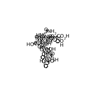 CC[C@H](C)[C@H](NC(=O)[C@H](CO)NC(=O)[C@H](Cc1ccc(O)cc1)NC(=O)[C@@H](NC(=O)[C@H](CS)NC(=O)[C@@H](N)Cc1ccccc1)[C@@H](C)O)C(=O)N1C[C@H](O)C[C@H]1C(=O)N1CCC[C@H]1C(=O)N[C@@H](CCC(N)=O)C(=O)N[C@@H](CS)C(=O)N[C@@H](Cc1ccc(O)cc1)C(=O)NCC(=O)O